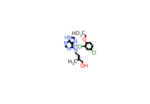 C/C(=C\CNc1ncnc2[nH]cnc12)CO.O=C(O)COc1ccc(Cl)cc1Cl